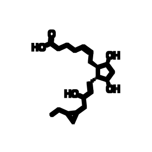 CCC1CC1CC(O)/C=C/[C@@H]1[C@@H](C/C=C\CCCC(=O)O)[C@@H](O)C[C@H]1O